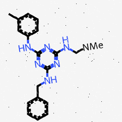 CNCNc1nc(NCc2ccccc2)nc(Nc2cccc(C)c2)n1